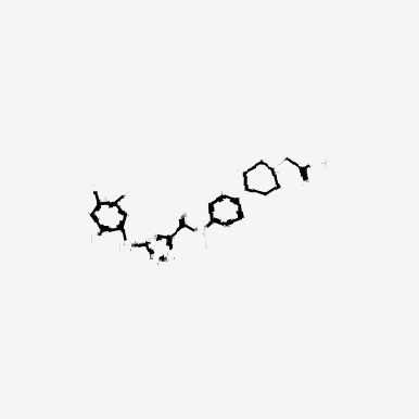 O=C(O)C[C@H]1CC[C@H](c2ccc(NC(=O)c3nnc(Nc4cc(F)c(F)cc4F)o3)cc2)CC1